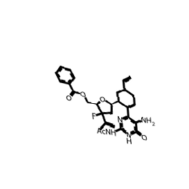 C=CC1CCC(c2nc(NC(C)=O)[nH]c(=O)c2N)C([C@H]2CC(F)(C(=C)C)[C@@H](COC(=O)c3ccccc3)O2)C1